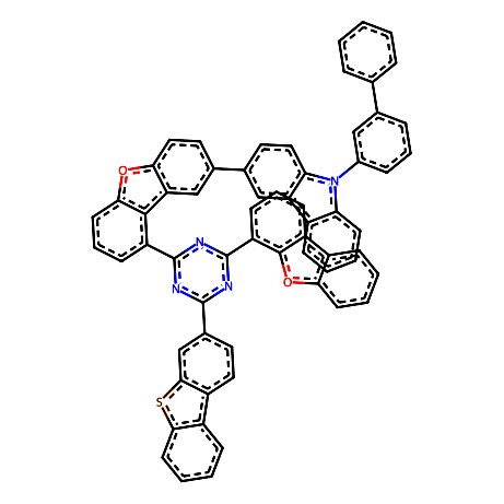 c1ccc(-c2cccc(-n3c4ccccc4c4cc(-c5ccc6oc7cccc(-c8nc(-c9ccc%10c(c9)sc9ccccc9%10)nc(-c9cccc%10c9oc9ccccc9%10)n8)c7c6c5)ccc43)c2)cc1